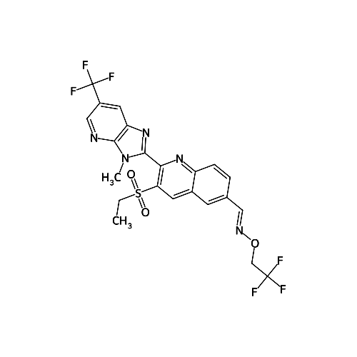 CCS(=O)(=O)c1cc2cc(C=NOCC(F)(F)F)ccc2nc1-c1nc2cc(C(F)(F)F)cnc2n1C